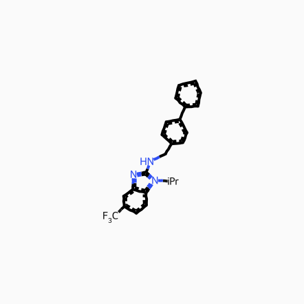 CC(C)n1c(NCc2ccc(-c3ccccc3)cc2)nc2cc(C(F)(F)F)ccc21